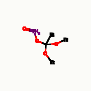 CCOC(CC)(OCC)O[PH2]=O